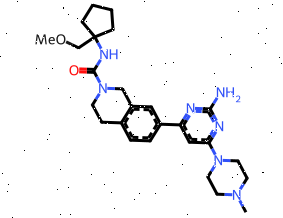 COCC1(NC(=O)N2CCc3ccc(-c4cc(N5CCN(C)CC5)nc(N)n4)cc3C2)CCCC1